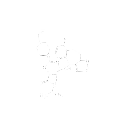 CCN1CCN(c2nc(NC3c4cccnc4CCc4c(F)cccc43)c3c(n2)C(=O)N(C(C)C)C3)CC1